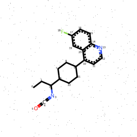 CCC(N=C=O)C1CCC(c2ccnc3ccc(F)cc23)CC1